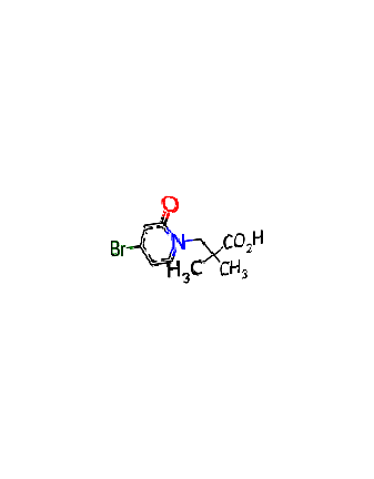 CC(C)(Cn1ccc(Br)cc1=O)C(=O)O